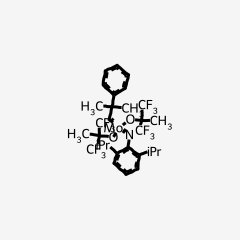 CC(C)c1cccc(C(C)C)c1[N]=[Mo](=[CH]C(C)(C)c1ccccc1)([O]C(C)(C(F)(F)F)C(F)(F)F)[O]C(C)(C(F)(F)F)C(F)(F)F